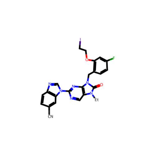 CCn1c(=O)n(Cc2ccc(F)cc2OCCI)c2nc(-n3cnc4ccc(C#N)cc43)ncc21